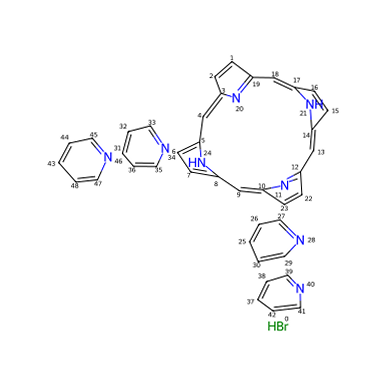 Br.C1=Cc2cc3ccc(cc4nc(cc5ccc(cc1n2)[nH]5)C=C4)[nH]3.c1ccncc1.c1ccncc1.c1ccncc1.c1ccncc1